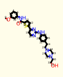 COc1cccc(NC(=O)c2ccc(-c3ccnc(Nc4ccc(CCN5CCN(CCO)CC5)cc4)n3)s2)c1